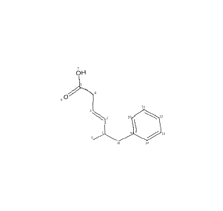 CC(C=CCC(=O)O)Cc1ccccc1